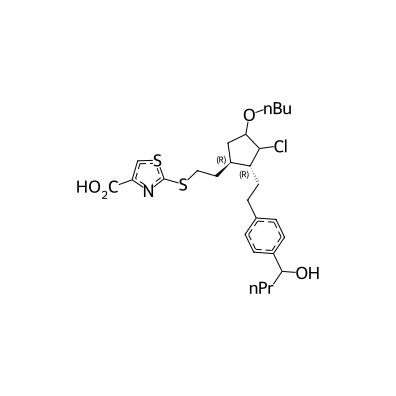 CCCCOC1C[C@H](CCSc2nc(C(=O)O)cs2)[C@@H](CCc2ccc(C(O)CCC)cc2)C1Cl